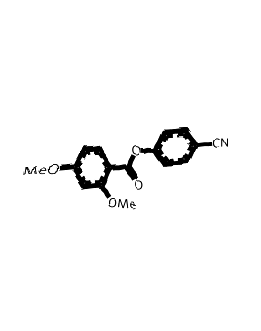 COc1ccc(C(=O)Oc2ccc(C#N)cc2)c(OC)c1